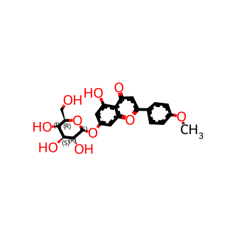 COc1ccc(-c2cc(=O)c3c(O)cc(O[C@@H]4O[C@H](CO)[C@H](O)[C@H](O)[C@H]4O)cc3o2)cc1